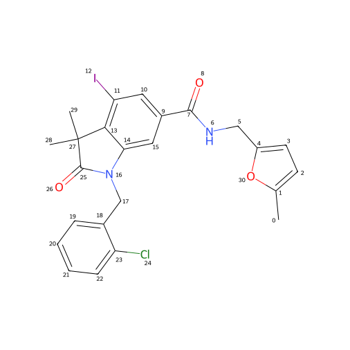 Cc1ccc(CNC(=O)c2cc(I)c3c(c2)N(Cc2ccccc2Cl)C(=O)C3(C)C)o1